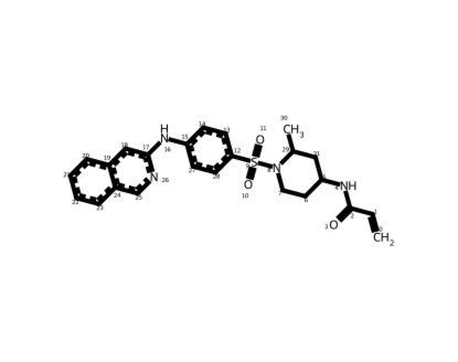 C=CC(=O)NC1CCN(S(=O)(=O)c2ccc(Nc3cc4ccccc4cn3)cc2)C(C)C1